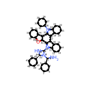 NC(c1ccccc1)N1C(n2c3ccccc3c3c4c5ccccc5n(-c5ccccc5)c4c4c5ccccc5oc4c32)N[C@@H]1c1ccccc1